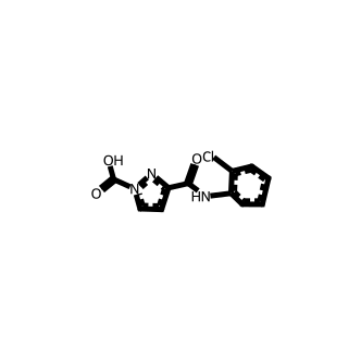 O=C(Nc1ccccc1Cl)c1ccn(C(=O)O)n1